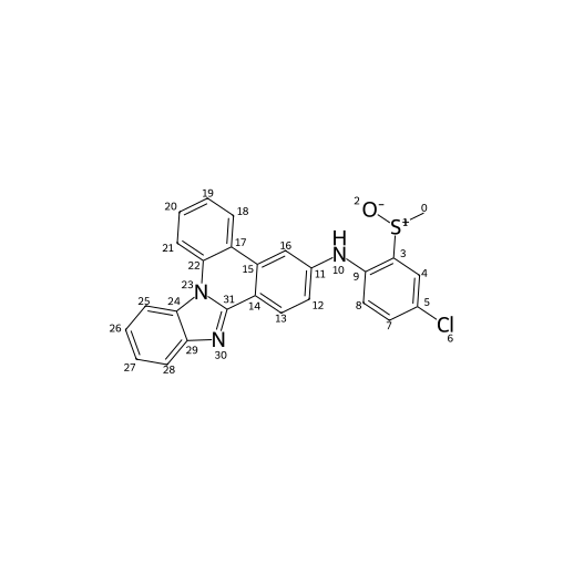 C[S+]([O-])c1cc(Cl)ccc1Nc1ccc2c(c1)c1ccccc1n1c3ccccc3nc21